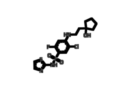 O=S(=O)(Nc1nccs1)c1cc(Cl)c(NCCC2(O)CCCC2)cc1F